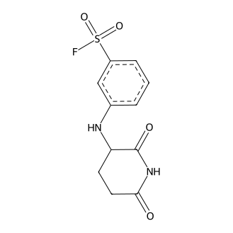 O=C1CCC(Nc2cccc(S(=O)(=O)F)c2)C(=O)N1